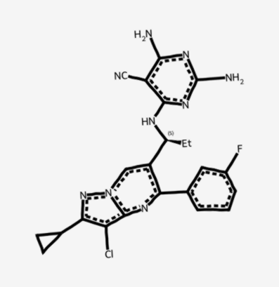 CC[C@H](Nc1nc(N)nc(N)c1C#N)c1cn2nc(C3CC3)c(Cl)c2nc1-c1cccc(F)c1